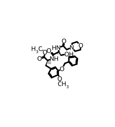 COC(=O)[C@H](Cc1ccc(OC)c(OCc2ccccc2)c1)NC(=O)[C@H](CO)NC(=O)CN1CCOCC1